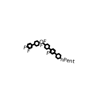 CCCCCC1CCC(c2ccc(C3CCC(C(F)(F)OC4CCC(c5ccc(F)c(F)c5)CC4)CC3)c(F)c2)CC1